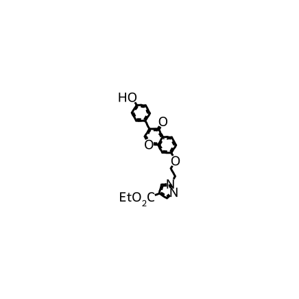 CCOC(=O)c1cnn(CCOc2ccc3c(=O)c(-c4ccc(O)cc4)coc3c2)c1